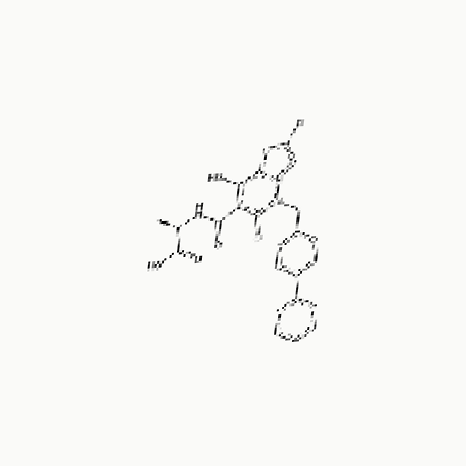 C[C@@H](NC(=O)c1c(O)c2cc(Cl)cn2n(Cc2ccc(-c3ccccc3)cc2)c1=O)C(=O)O